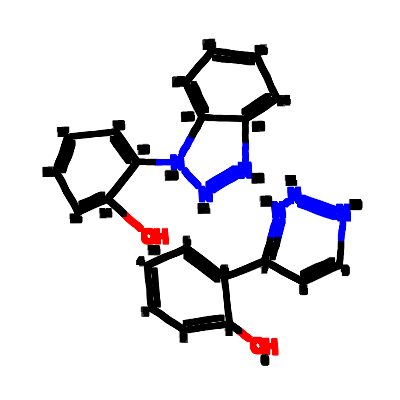 Oc1ccccc1-c1ccnnn1.Oc1ccccc1-n1nnc2ccccc21